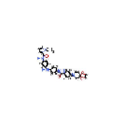 Cn1cccc1C(=O)Nc1ccc(Nc2ccc(NC(=O)c3ccc(N4CCC5(CC4)OCCO5)cc3)cc2)cc1